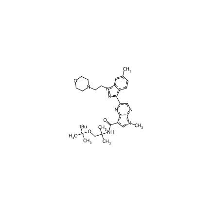 Cc1ccc2c(-c3cnc4c(n3)c(C(=O)NC(C)(C)CO[Si](C)(C)C(C)(C)C)cn4C)nn(CCN3CCOCC3)c2c1